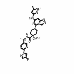 CO[C@]1(C(=O)N[C@@H](C)c2ccc(-n3cc(F)cn3)nc2)CC[C@H](c2nc(Nc3cc(C)[nH]n3)cc3nncn32)CC1